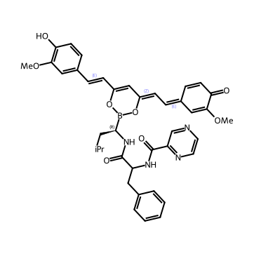 COC1=C/C(=C/C=C2C=C(/C=C/c3ccc(O)c(OC)c3)OB([C@H](CC(C)C)NC(=O)C(Cc3ccccc3)NC(=O)c3cnccn3)O/2)C=CC1=O